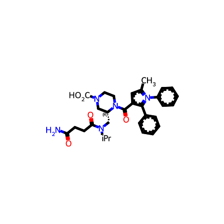 Cc1cc(C(=O)N2CCN(C(=O)O)C[C@H]2CN(C(=O)CCC(N)=O)C(C)C)c(-c2ccccc2)n1-c1ccccc1